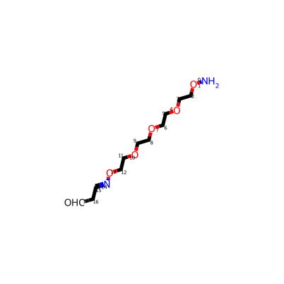 NOCCOCCOCCOCCO/N=C/CC=O